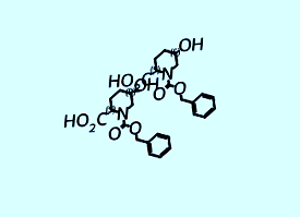 O=C(O)[C@@H]1CC[C@@H](O)CN1C(=O)OCc1ccccc1.O=C(O)[C@@H]1CC[C@H](O)CN1C(=O)OCc1ccccc1